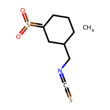 C.O=S(=O)=C1CCCC(CN=C=S)C1